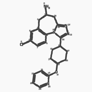 NC1Cc2cc(Cl)ccc2-n2c(nnc2C2CCC(Oc3ccccn3)CC2)C1